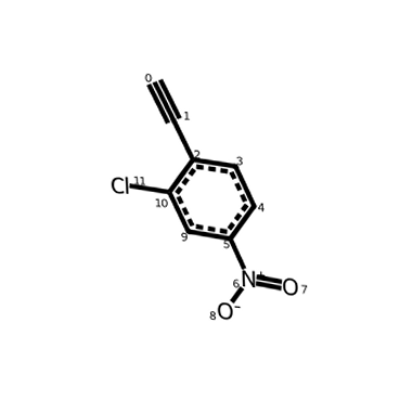 C#Cc1ccc([N+](=O)[O-])cc1Cl